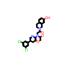 O=C(CN1C(=O)COC2=C1N=CC(c1cc(Cl)cc(Cl)c1)C2)N1CCc2ccc(O)cc2C1